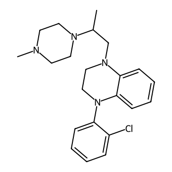 CC(CN1CCN(c2ccccc2Cl)c2ccccc21)N1CCN(C)CC1